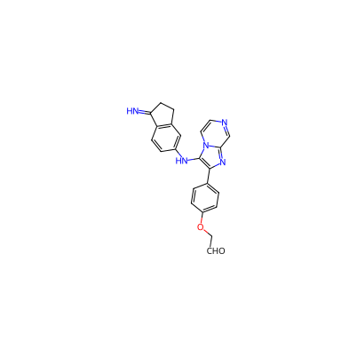 N=C1CCc2cc(Nc3c(-c4ccc(OCC=O)cc4)nc4cnccn34)ccc21